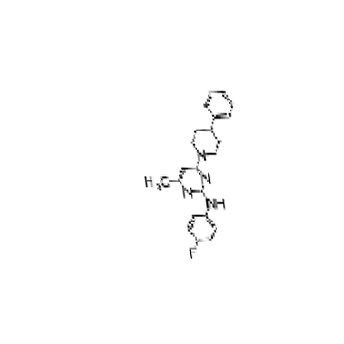 Cc1cc(N2CCC(c3ccccc3)CC2)nc(Nc2ccc(F)cc2)n1